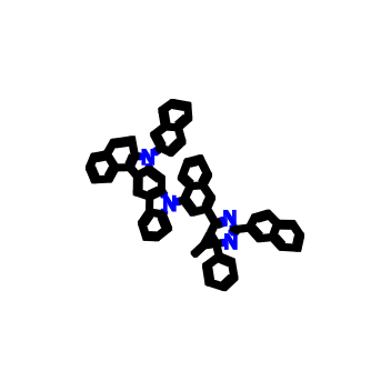 CC1C2C(c3cc(-n4c5ccccc5c5cc6c7c8ccccc8ccc7n(-c7ccc8ccccc8c7)c6cc54)c4ccccc4c3)=NC(c3ccc4ccccc4c3)=NC12c1ccccc1